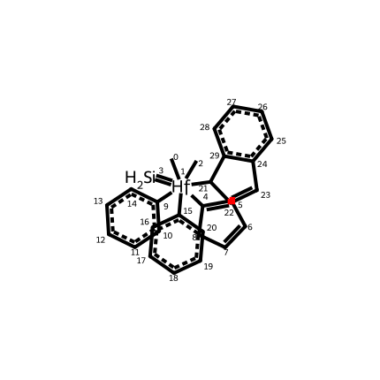 [CH3][Hf]([CH3])(=[SiH2])([C]1=CC=CC1)([c]1ccccc1)([c]1ccccc1)[CH]1C=Cc2ccccc21